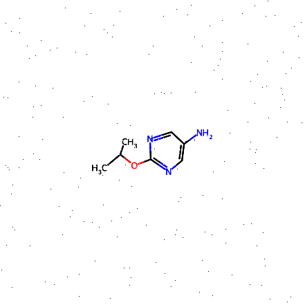 CC(C)Oc1ncc(N)cn1